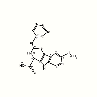 COc1ccc2[nH]c3c(c2c1)CC(Cc1ccccc1)NC3C(=O)O